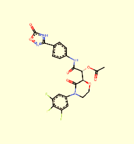 CC(=O)O[C@@H](C(=O)Nc1ccc(-c2noc(=O)[nH]2)cc1)[C@H]1OCCN(c2cc(F)c(F)c(F)c2)C1=O